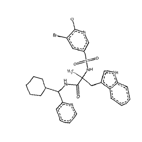 CC(Cc1c[nH]c2ccccc12)(NS(=O)(=O)c1cnc(Cl)c(Br)c1)C(=O)NC(c1ccccn1)C1CCCCC1